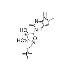 C=C1N=c2[nH]c(C)cc2=CN1C1O[C@H](CCP(=C)(C)C)[C@@H](O)[C@H]1O